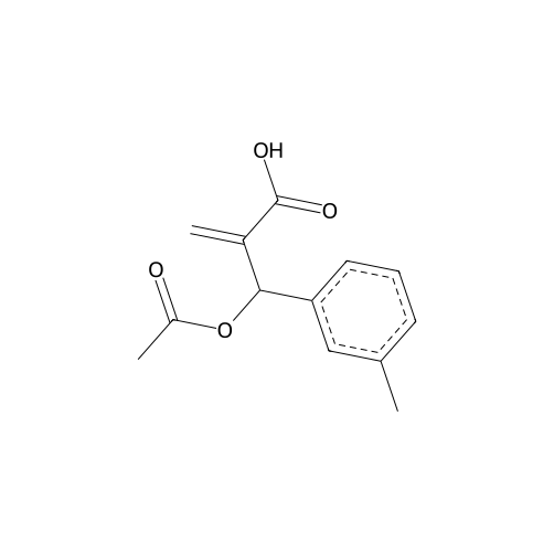 C=C(C(=O)O)C(OC(C)=O)c1cccc(C)c1